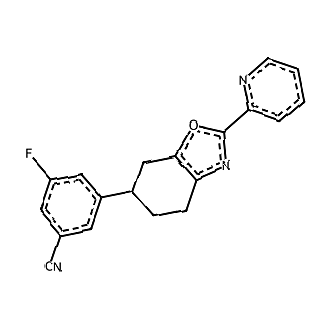 N#Cc1cc(F)cc(C2CCc3nc(-c4ccccn4)oc3C2)c1